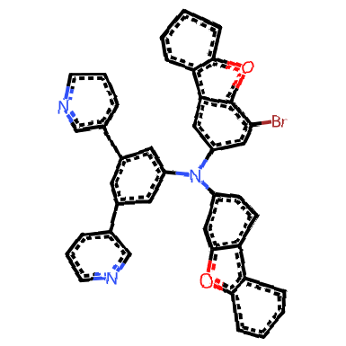 Brc1cc(N(c2cc(-c3cccnc3)cc(-c3cccnc3)c2)c2ccc3c(c2)oc2ccccc23)cc2c1oc1ccccc12